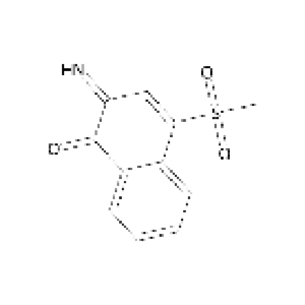 CS(=O)(=O)C1=CC(=N)C(=O)c2ccccc21